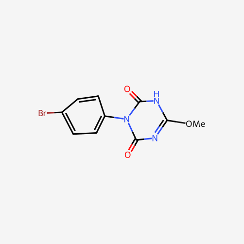 COc1nc(=O)n(-c2ccc(Br)cc2)c(=O)[nH]1